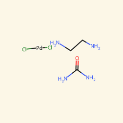 NC(N)=O.NCCN.[Cl][Pd][Cl]